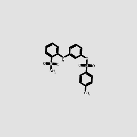 Cc1ccc(S(=O)(=O)Oc2cccc(Nc3ccccc3S(N)(=O)=O)c2)cc1